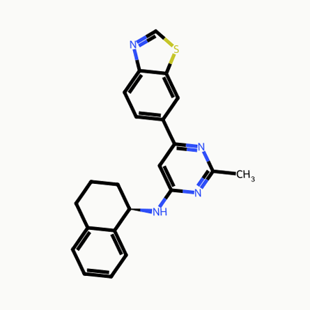 Cc1nc(N[C@@H]2CCCc3ccccc32)cc(-c2ccc3ncsc3c2)n1